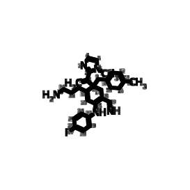 C=C(c1nccn1C)C1(CC2=CC=C(C)CC2)CC(C=N)=C(Nc2ccc(F)cc2)C=C1CCCN